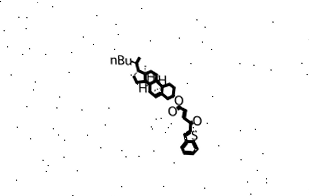 CCCC[C@@H](C)[C@H]1CC[C@H]2[C@@H]3CC=C4CC(OC(=O)/C=C/C(=O)c5cc6ccccc6s5)CC[C@]4(C)[C@H]3CC[C@]12C